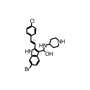 OC(NC1CCNCC1)c1c(/C=C/c2ccc(Cl)cc2)[nH]c2cc(Br)ccc12